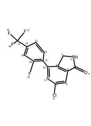 O=C1NCc2c1cc(Cl)nc2-c1ccc(C(F)(F)F)cc1F